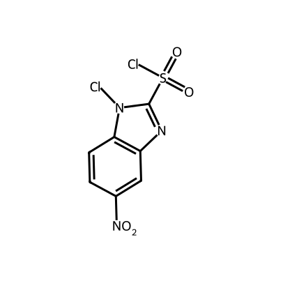 O=[N+]([O-])c1ccc2c(c1)nc(S(=O)(=O)Cl)n2Cl